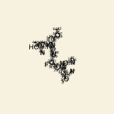 C=CC(=O)N1CCN(c2nc(OC[C@@H]3CCCN3C)nc3c2CCCN(c2cc(C4C[C@@H](COc5nc6c(c(N7CCN(C(O)C=C)[C@@H](CC#N)C7)n5)CCCN(c5cccc(C(C)C)c5)C6)N(C)C4)cc(F)c2C)C3)C[C@@H]1CC#N